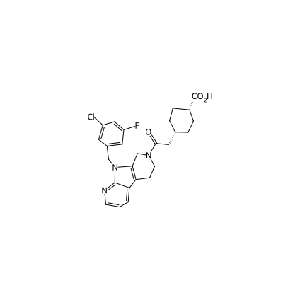 O=C(C[C@H]1CC[C@@H](C(=O)O)CC1)N1CCc2c(n(Cc3cc(F)cc(Cl)c3)c3ncccc23)C1